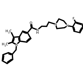 Cc1c(C)n(Cc2ccccc2)c2ccc(C(=O)NCCCN3CCN(c4ccccc4F)CC3)cc12